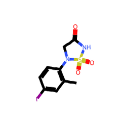 Cc1cc(I)ccc1N1CC(=O)NS1(=O)=O